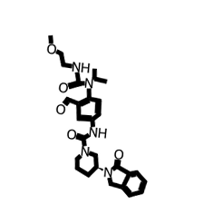 COCCNC(=O)N(c1ccc(NC(=O)N2CCC[C@@H](N3Cc4ccccc4C3=O)C2)cc1C=O)C(C)C